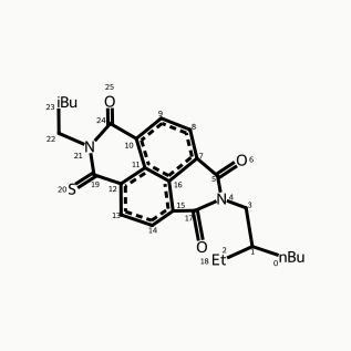 CCCCC(CC)CN1C(=O)c2ccc3c4c(ccc(c24)C1=O)C(=S)N(CC(C)CC)C3=O